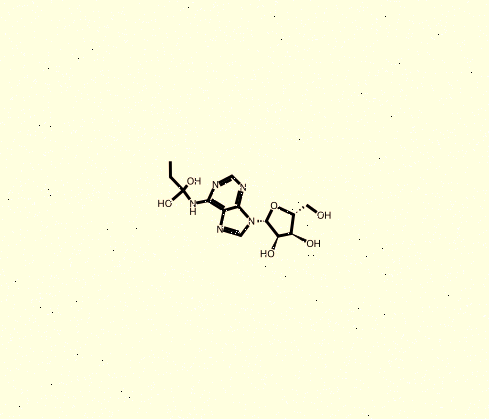 CCC(O)(O)Nc1ncnc2c1ncn2[C@@H]1O[C@H](CO)[C@@H](O)[C@H]1O